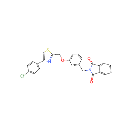 O=C1c2ccccc2C(=O)N1Cc1cccc(OCc2nc(-c3ccc(Cl)cc3)cs2)c1